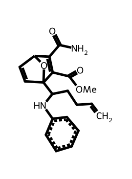 C=CCCC(Nc1ccccc1)C12C=CC(O1)C(C(N)=O)=C2C(=O)OC